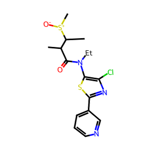 CCN(C(=O)C(C)C(C)[S+](C)[O-])c1sc(-c2cccnc2)nc1Cl